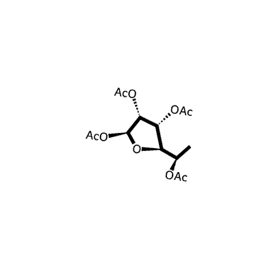 CC(=O)O[C@@H]1O[C@H]([C@@H](C)OC(C)=O)[C@@H](OC(C)=O)[C@H]1OC(C)=O